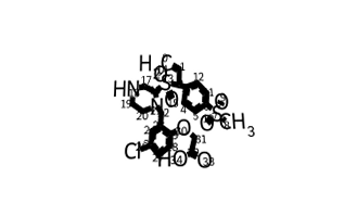 C=CC(c1ccc(S(C)(=O)=O)cc1)S(=O)(=O)C1CNCCN1Cc1cc(Cl)ccc1OCC(=O)O